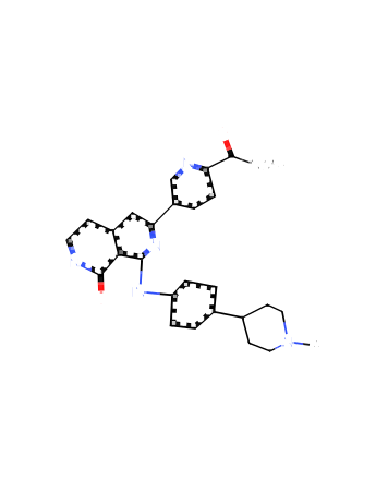 CNC(=O)c1ccc(-c2cc3cc[nH]c(=O)c3c(Nc3ccc(C4CCN(C(C)=O)CC4)cc3)n2)cn1